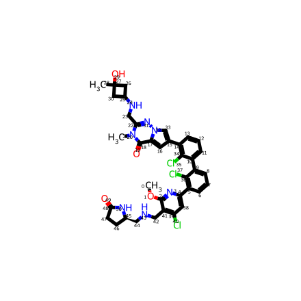 COc1nc(-c2cccc(-c3cccc(-c4cc5c(=O)n(C)c(CNC6CC(C)(O)C6)nn5c4)c3Cl)c2Cl)cc(Cl)c1CNC[C@H]1CCC(=O)N1